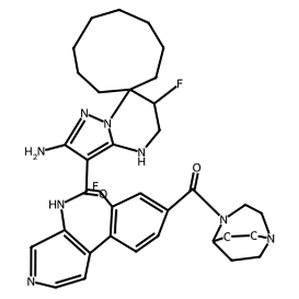 Nc1nn2c(c1C(=O)Nc1cnccc1-c1ccc(C(=O)N3CCN4CCC3CC4)cc1F)NCC(F)C21CCCCCCCC1